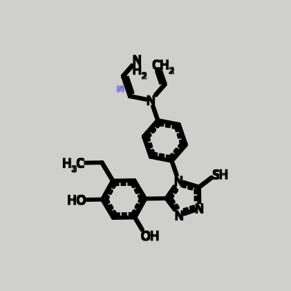 C=CN(/C=C\N)c1ccc(-n2c(S)nnc2-c2cc(CC)c(O)cc2O)cc1